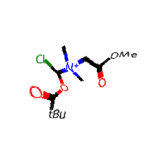 COC(=O)C[N+](C)(C)C(Cl)OC(=O)C(C)(C)C